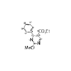 CCOC(=O)c1cnc(OC)nc1-c1ccccc1